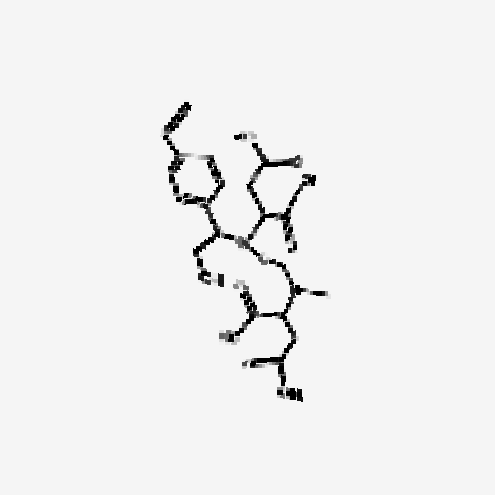 C=Cc1ccc(C(CO)N(CCN(C)C(CC(=O)O)C(=O)O)C(CC(=O)O)C(=O)O)cc1